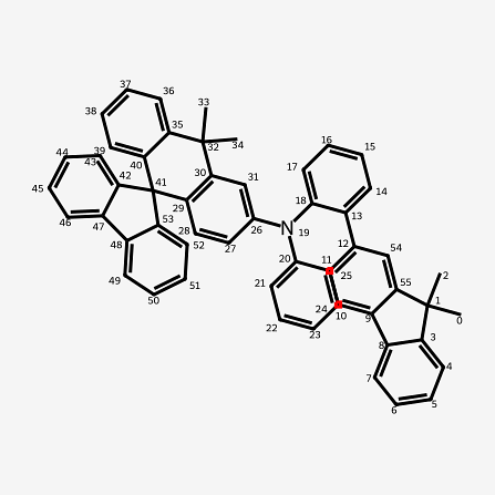 CC1(C)c2ccccc2-c2ccc(-c3ccccc3N(c3ccccc3)c3ccc4c(c3)C(C)(C)c3ccccc3C43c4ccccc4-c4ccccc43)cc21